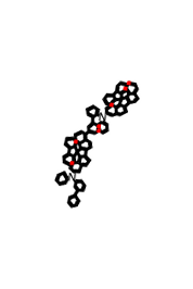 c1ccc(-c2cccc(N(c3ccccc3)c3ccc4c5c(ccc4c3)-c3ccc4c(-c6cccc(-c7ccccc7N(c7ccccc7)c7ccc8c9c(ccc8c7)-c7ccc8ccccc8c7C97c8ccccc8-c8ccccc87)c6)cccc4c3C53c4ccccc4-c4ccccc43)c2)cc1